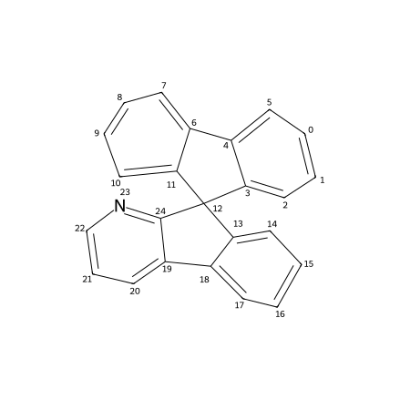 c1ccc2c(c1)-c1ccccc1C21c2ccccc2-c2cccnc21